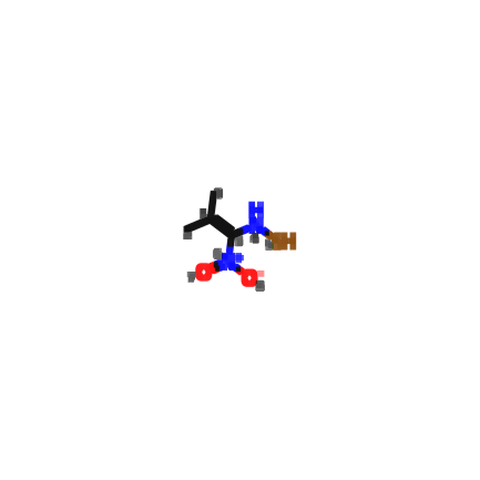 CC(C)=C(NS)[N+](=O)[O-]